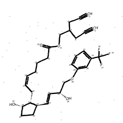 C#CCC(CC#C)COC(=O)CCC/C=C\C[C@H]1[C@@H](O)CC[C@@H]1/C=C/[C@@H](O)COc1cccc(C(F)(F)F)c1